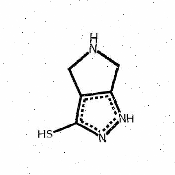 Sc1n[nH]c2c1CNC2